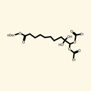 CCCCCCCCCCOC(=O)CCCCCCCC(O)(O)C(OC(=O)CC)OC(=O)CC